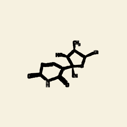 CC[C@H]1O[C@@](C#N)(n2ccc(=O)[nH]c2=O)[C@@H](O)[C@@H]1C